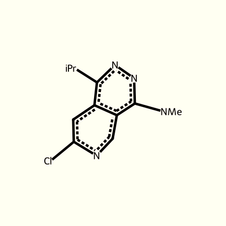 CNc1nnc(C(C)C)c2cc(Cl)ncc12